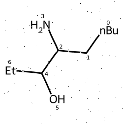 CCCCCC(N)C(O)CC